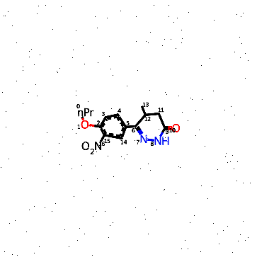 CCCOc1ccc(C2=NNC(=O)CC2C)cc1[N+](=O)[O-]